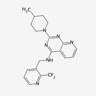 CC1CCN(c2nc(NCc3cccnc3C(F)(F)F)c3cccnc3n2)CC1